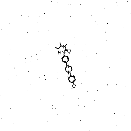 CCC(C)N(C)C(=O)Nc1ccc(N2CCN(c3ccc(OC)cc3)CC2)cc1